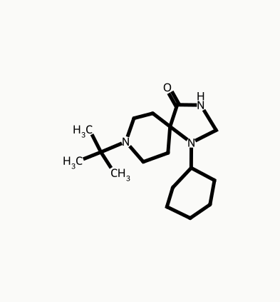 CC(C)(C)N1CCC2(CC1)C(=O)NCN2C1CCCCC1